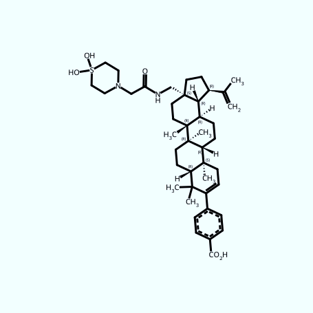 C=C(C)[C@@H]1CC[C@]2(CNC(=O)CN3CCS(O)(O)CC3)CC[C@]3(C)[C@H](CC[C@@H]4[C@@]5(C)CC=C(c6ccc(C(=O)O)cc6)C(C)(C)[C@@H]5CC[C@]43C)[C@@H]12